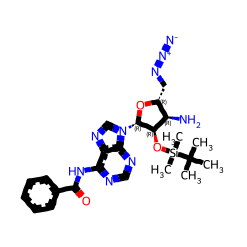 CC(C)(C)[Si](C)(C)O[C@@H]1[C@H](N)[C@@H](CN=[N+]=[N-])O[C@H]1n1cnc2c(NC(=O)c3ccccc3)ncnc21